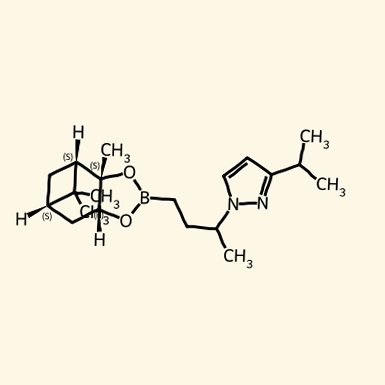 CC(C)c1ccn(C(C)CCB2O[C@@H]3C[C@@H]4C[C@@H](C4(C)C)[C@]3(C)O2)n1